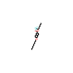 CCCCCCCCCCOc1ccc2cc(C(=O)OC(CCCCCC)C(F)(F)F)ccc2c1